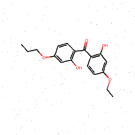 CCCOc1ccc(C(=O)c2ccc(OCC)cc2O)c(O)c1